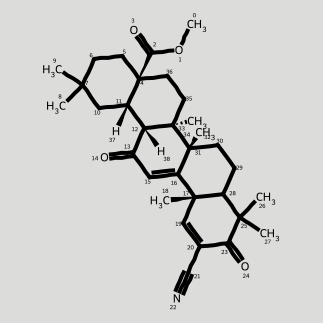 COC(=O)[C@]12CCC(C)(C)C[C@H]1[C@H]1C(=O)C=C3[C@@]4(C)C=C(C#N)C(=O)C(C)(C)C4CC[C@@]3(C)[C@]1(C)CC2